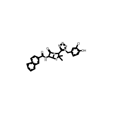 CC1(C)SC2C(NC(=O)c3ccc4ccccc4c3)C(=O)N2C1c1nnnn1Cc1ccc(O)c(Cl)c1